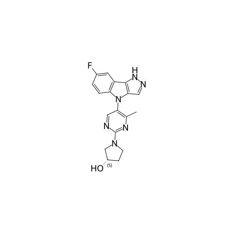 Cc1nc(N2CC[C@H](O)C2)ncc1-n1c2ccc(F)cc2c2[nH]ncc21